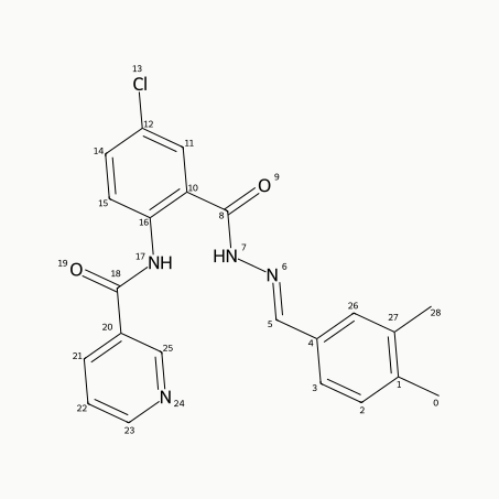 Cc1ccc(C=NNC(=O)c2cc(Cl)ccc2NC(=O)c2cccnc2)cc1C